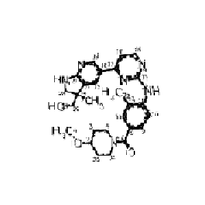 COC1CCN(C(=O)c2ccc(Nc3nccc(-c4cnc5c(c4)C(C)(CO)CN5)n3)c(C)c2)CC1